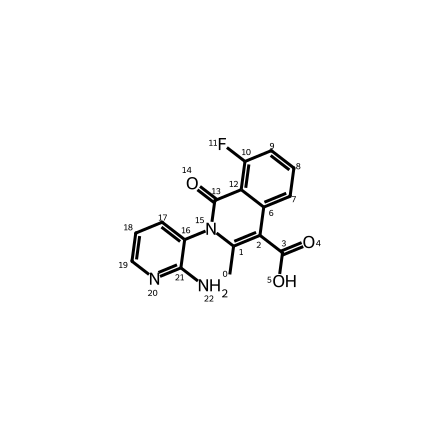 Cc1c(C(=O)O)c2cccc(F)c2c(=O)n1-c1cccnc1N